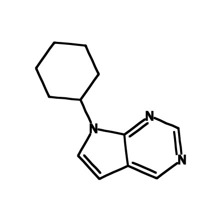 c1ncc2ccn(C3CCCCC3)c2n1